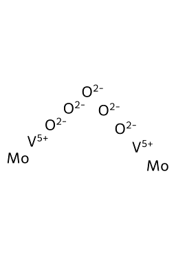 [Mo].[Mo].[O-2].[O-2].[O-2].[O-2].[O-2].[V+5].[V+5]